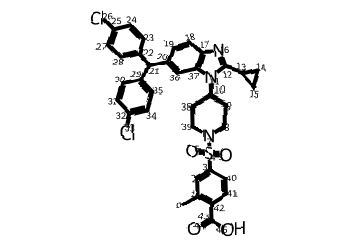 Cc1cc(S(=O)(=O)N2CCC(n3c(C4CC4)nc4ccc(C(c5ccc(Cl)cc5)c5ccc(Cl)cc5)cc43)CC2)ccc1C(=O)O